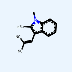 CCCCc1c(C=C(C#N)C#N)c2ccccc2n1C